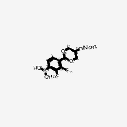 CCCCCCCCCC1COC(c2ccc(B(O)O)c(F)c2F)OC1